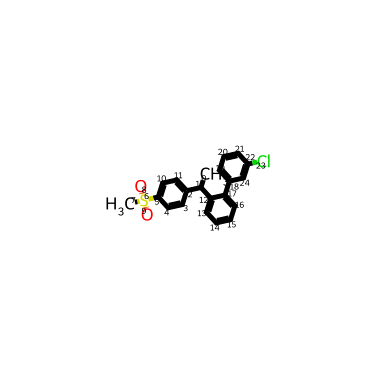 CC(c1ccc(S(C)(=O)=O)cc1)c1ccccc1-c1cccc(Cl)c1